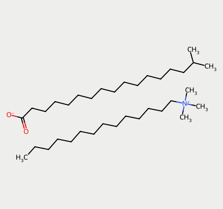 CC(C)CCCCCCCCCCCCCCC(=O)[O-].CCCCCCCCCCCCCC[N+](C)(C)C